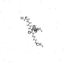 CCCCCCCC(=O)C(CCCCCCC)[N+](=O)[O-].N